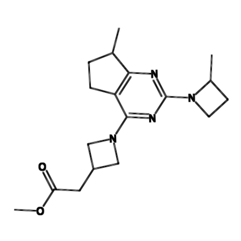 COC(=O)CC1CN(c2nc(N3CCC3C)nc3c2CCC3C)C1